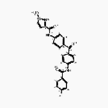 Cn1ccc(C(=O)Nc2ccc(C(=O)c3ccc(NC(=O)c4ccc(I)cc4)cc3)cc2)n1